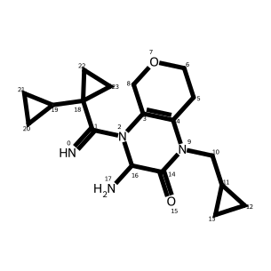 N=C(N1C2=C(CCOC2)N(CC2CC2)C(=O)C1N)C1(C2CC2)CC1